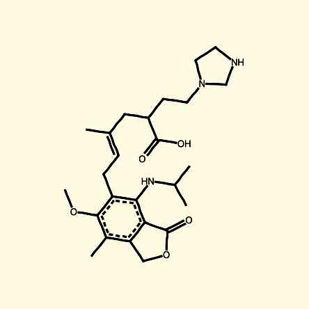 COc1c(C)c2c(c(NC(C)C)c1C/C=C(\C)CC(CCN1CCNC1)C(=O)O)C(=O)OC2